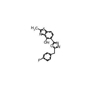 Cc1nc2c(O)c(-c3nnc(Cc4ccc(F)cc4)o3)ccc2s1